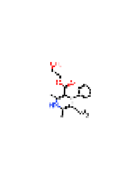 CC1=C(C(=O)OCCO)C(c2ccccc2)C([N+](=O)[O-])=C(C)N1